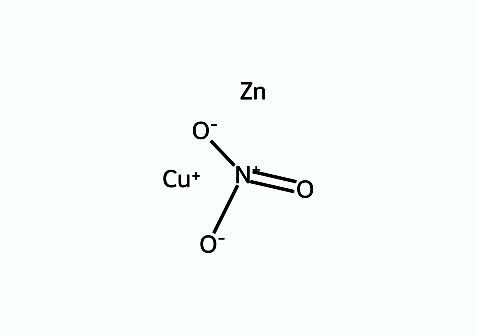 O=[N+]([O-])[O-].[Cu+].[Zn]